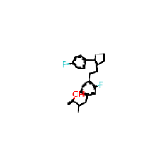 C=C(O)C(C)Cc1ccc(CCC2=C(c3ccc(F)cc3)CCC2)c(F)c1